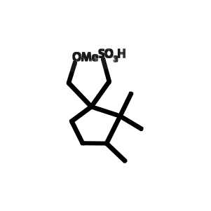 COCC1(CS(=O)(=O)O)CCC(C)C1(C)C